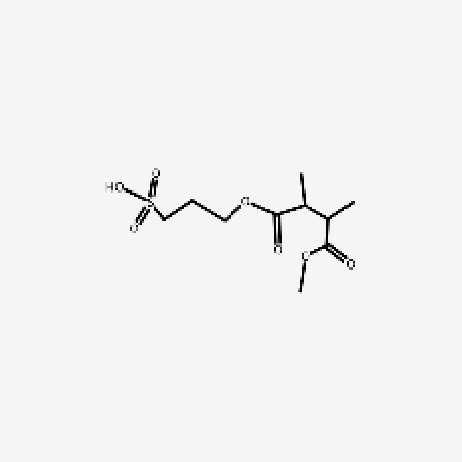 COC(=O)C(C)C(C)C(=O)OCCCS(=O)(=O)O